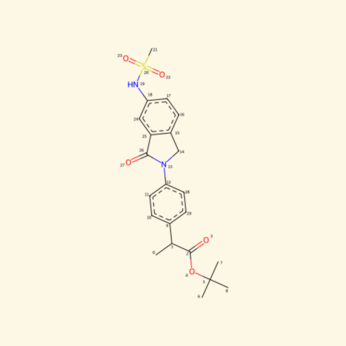 CC(C(=O)OC(C)(C)C)c1ccc(N2Cc3ccc(NS(C)(=O)=O)cc3C2=O)cc1